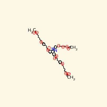 C=CC(=O)OCCCCCCOc1ccc(CCC(=O)Oc2ccc3c4ccc(OC(=O)CCc5ccc(OCCCCCCOC(=O)C=C)cc5)cc4c4nc5cc(OCCOCCOC(=O)C=C)ccc5nc4c3c2)cc1